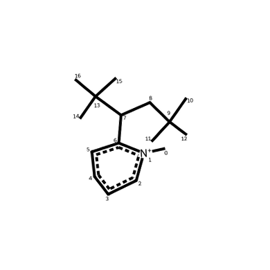 C[n+]1ccccc1C(CC(C)(C)C)C(C)(C)C